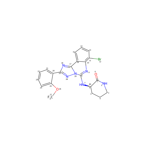 O=C1NCCC[C@H]1Nc1nc2c(Br)cccc2c2nc(-c3ccccc3OC(F)(F)F)nn12